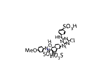 COc1ccc(/N=N/c2c(S(=O)(=O)O)cc3cc(N(C)c4nc(Cl)nc(Nc5ccc(S(=O)(=O)O)cc5)n4)ccc3c2O)c(S(=O)(=O)O)c1